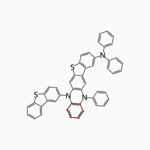 c1ccc(N(c2ccccc2)c2ccc3sc4cc(N(c5ccccc5)c5ccc6sc7ccccc7c6c5)c(N(c5ccccc5)c5ccccc5)cc4c3c2)cc1